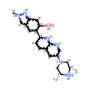 C[C@@H]1CN(c2cnc3nc(-c4cc5cn(C)nc5cc4O)ccc3c2)C[C@H](C)N1